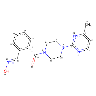 Cc1ccnc(N2CCN(C(=O)c3ccccc3/C=N/O)CC2)n1